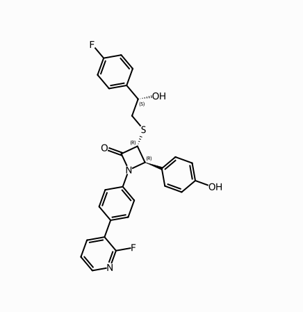 O=C1[C@H](SC[C@@H](O)c2ccc(F)cc2)[C@@H](c2ccc(O)cc2)N1c1ccc(-c2cccnc2F)cc1